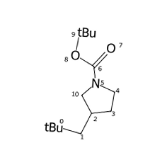 CC(C)(C)CC1CCN(C(=O)OC(C)(C)C)C1